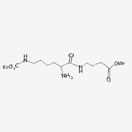 CCOC(=O)NCCCCC(N)C(=O)NCCCC(=O)OC